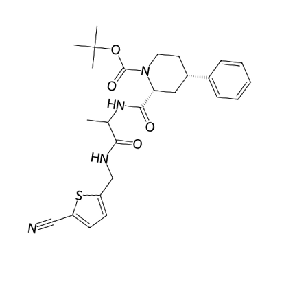 CC(NC(=O)[C@H]1C[C@@H](c2ccccc2)CCN1C(=O)OC(C)(C)C)C(=O)NCc1ccc(C#N)s1